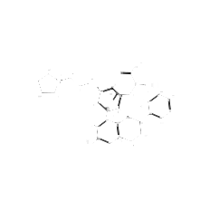 O=C(O)[C@@H](O)[C@H](O[C@@]1(c2ccc(OCCN3CCCC3)cc2)c2ccc(O)cc2CC[C@@H]1c1ccccc1)C(=O)O